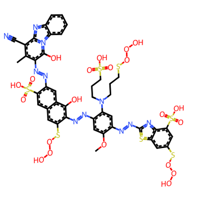 COc1cc(N=Nc2c(SOOO)cc3cc(S(=O)(=O)O)c(N=Nc4c(C)c(C#N)c5nc6ccccc6n5c4O)cc3c2O)c(N(CCCSOOO)CCCS(=O)(=O)O)cc1N=Nc1nc2c(S(=O)(=O)O)cc(SOOO)cc2s1